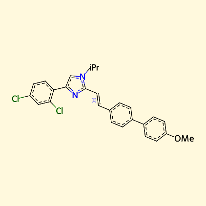 COc1ccc(-c2ccc(/C=C/c3nc(-c4ccc(Cl)cc4Cl)cn3C(C)C)cc2)cc1